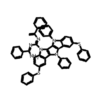 C=C(/N=C(\N=C(/N)c1ccccc1)n1c2ccc(Sc3ccccc3)cc2c2c1c1c(c3cc(Sc4ccccc4)ccc3n1-c1ccccc1)n2-c1ccccc1)c1ccccc1